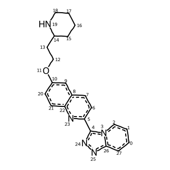 c1ccn2c(-c3ccc4cc(OCCC5CCCCN5)ccc4n3)nnc2c1